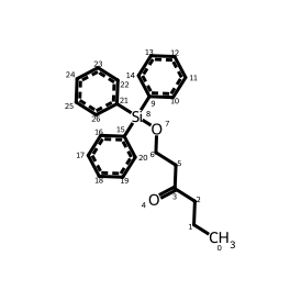 CCCC(=O)CCO[Si](c1ccccc1)(c1ccccc1)c1ccccc1